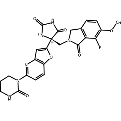 COc1ccc2c(c1F)C(=O)N(C[C@@]1(c3cc4nc(N5CCCNC5=O)ccc4o3)NC(=O)NC1=O)C2